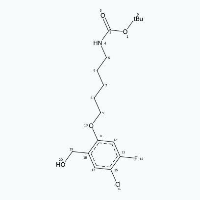 CC(C)(C)OC(=O)NCCCCCOc1cc(F)c(Cl)cc1CO